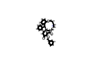 O=C1c2c(OCc3ccccc3)c(=O)ccn2N2CN1C/C=C\CCOc1ccccc1C2c1ccccc1